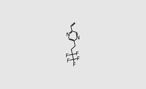 C=Cc1cnc(CCC(F)(F)C(F)(F)F)cn1